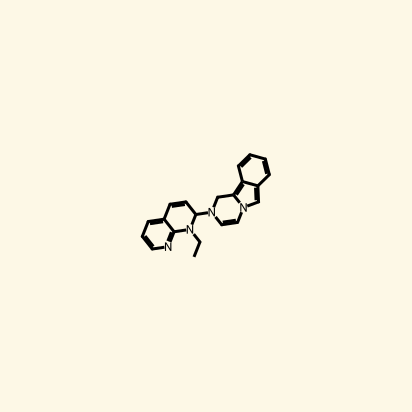 CCN1c2ncccc2C=CC1N1C=Cn2cc3ccccc3c2C1